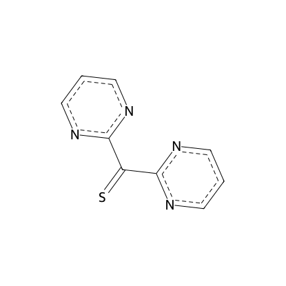 S=C(c1ncccn1)c1ncccn1